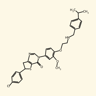 COc1cc(-n2cnc3c(c2=O)SC(c2ccc(Cl)cc2)C3)ccc1OCCNCc1ccc(C(C)C)cc1